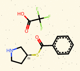 O=C(O)C(F)(F)F.O=C(S[C@H]1CCNC1)c1ccccc1